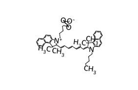 CCCCCN1/C(=C/C=C/C=C/C=C/C2=[N+](CCCCS(=O)(=O)[O-])c3ccc4ccccc4c3C2(C)C)C(C)(C)c2c1ccc1ccccc21